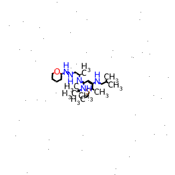 CCSC(C)/C(=C\C(=N/[C@H](C)CNNC1CCCCO1)NC(C)(C)C)NCC(C)C